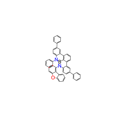 c1ccc(-c2ccc3c(c2)-c2cccc4c2B(N3c2ccccc2)N(c2cccc3oc5ccccc5c23)c2ccc(-c3ccccc3)cc2-4)cc1